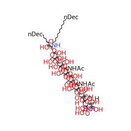 CCCCCCCCCCCCC/C=C/[C@@H](O)[C@H](CO[C@@H]1OC(CO)[C@@H](O[C@@H]2OC(CO)[C@H](O[C@@H]3OC(CO)[C@H](O)[C@H](O[C@@H]4OC(CO)[C@H](O)[C@H](O[C@@H]5OC(CO)[C@@H](O[C@@H]6OC(CO)[C@H](O)[C@H](O[C@]7(C(=O)O)CC(O)[C@@H](NC(=O)CO)C([C@H](O)[C@H](O)CO)O7)C6O)[C@H](O)C5NC(C)=O)C4O)C3NC(C)=O)[C@H](O)C2O)[C@H](O)C1O)NC(=O)CCCCCCCCCCCCCCCCCCCCC